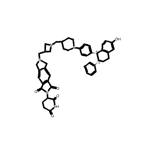 O=C1CCC(N2C(=O)c3cc4c(cc3C2=O)CN(CC2CN(CC3CCN(c5ccc([C@@H]6c7ccc(O)cc7CC[C@@H]6c6ccccc6)cc5)CC3)C2)C4)C(=O)N1